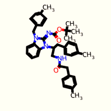 Cc1ccc(CC(=O)NCC(Cc2ccc(C)cc2)n2c(=NC(=O)OC(C)(C)C)n(Cc3ccc(C)cc3)c3ccccc32)cc1